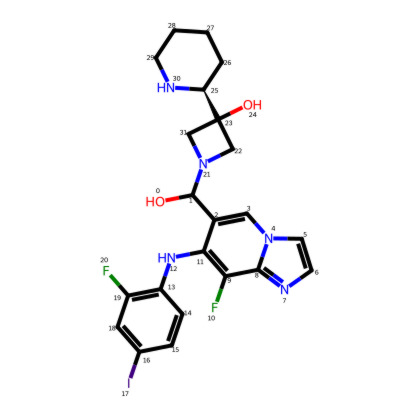 OC(c1cn2ccnc2c(F)c1Nc1ccc(I)cc1F)N1CC(O)([C@@H]2CCCCN2)C1